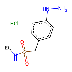 CCNS(=O)(=O)Cc1ccc(NN)cc1.Cl